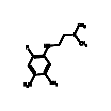 CN(C)CCNc1cc(N)c(N)cc1F